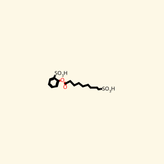 O=C(CCCCCCCCS(=O)(=O)O)Oc1ccccc1S(=O)(=O)O